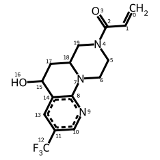 C=CC(=O)N1CCN2c3ncc(C(F)(F)F)cc3C(O)CC2C1